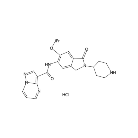 CC(C)Oc1cc2c(cc1NC(=O)c1cnn3cccnc13)CN(C1CCNCC1)C2=O.Cl